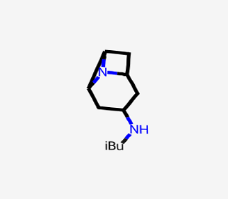 CCC(C)NC1CC2CC3C(C1)N23